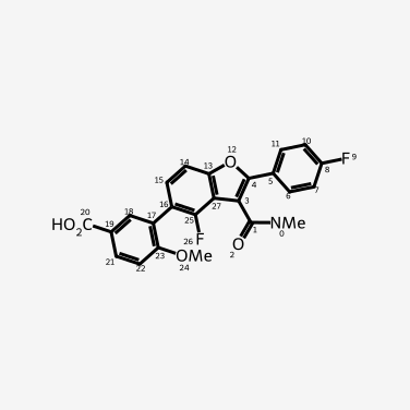 CNC(=O)c1c(-c2ccc(F)cc2)oc2ccc(-c3cc(C(=O)O)ccc3OC)c(F)c12